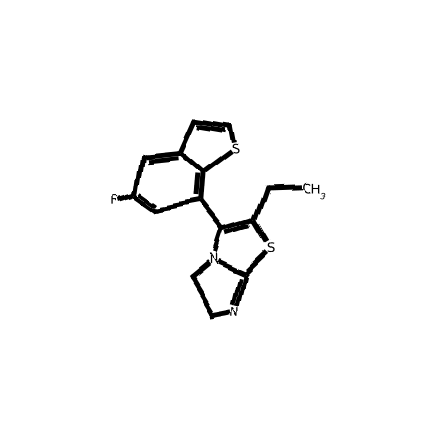 CCC1=C(c2cc(F)cc3ccsc23)N2CCN=C2S1